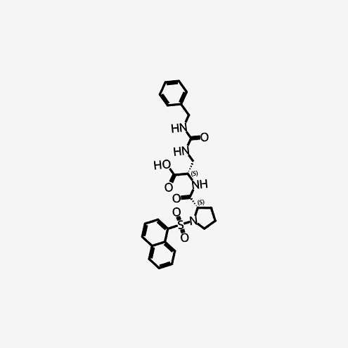 O=C(NCc1ccccc1)NC[C@H](NC(=O)[C@@H]1CCCN1S(=O)(=O)c1cccc2ccccc12)C(=O)O